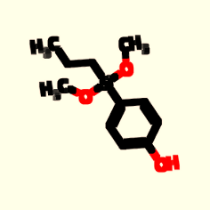 CCC[Si](OC)(OC)c1ccc(O)cc1